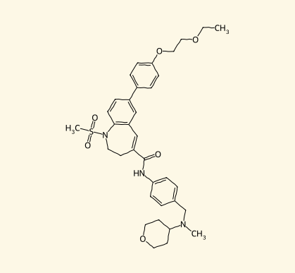 CCOCCOc1ccc(-c2ccc3c(c2)C=C(C(=O)Nc2ccc(CN(C)C4CCOCC4)cc2)CCN3S(C)(=O)=O)cc1